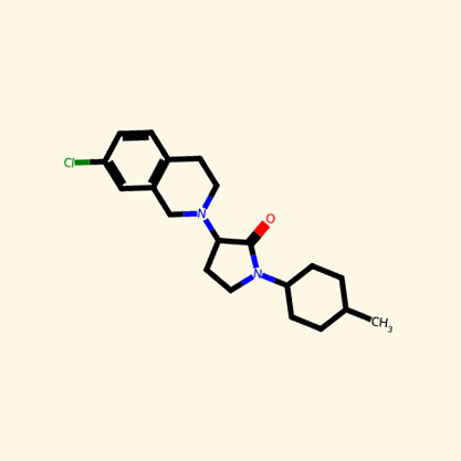 CC1CCC(N2CCC(N3CCc4ccc(Cl)cc4C3)C2=O)CC1